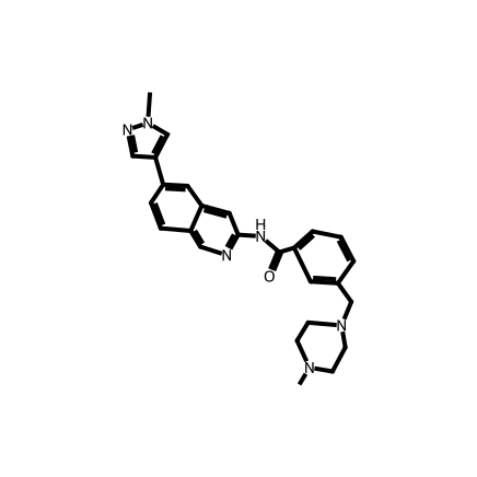 CN1CCN(Cc2cccc(C(=O)Nc3cc4cc(-c5cnn(C)c5)ccc4cn3)c2)CC1